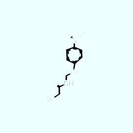 O=C(CBr)NCOc1ccc([N+](=O)[O-])cc1